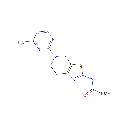 CNC(=O)Nc1nc2c(s1)CN(c1nccc(C(F)(F)F)n1)CC2